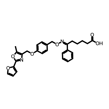 Cc1oc(-c2ccco2)nc1COc1ccc(CON=C(CCCCC(=O)O)c2ccccc2)cc1